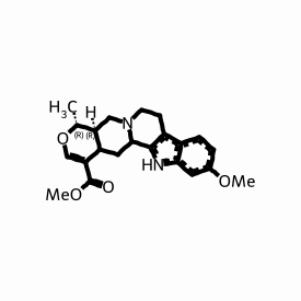 COC(=O)C1=CO[C@H](C)[C@H]2CN3CCc4c([nH]c5cc(OC)ccc45)C3CC12